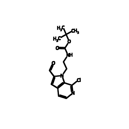 CC(C)(C)OC(=O)NCCn1c(C=O)cc2ccnc(Cl)c21